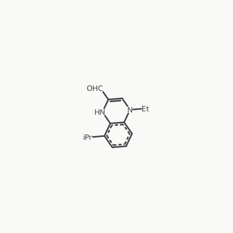 CCN1C=C(C=O)Nc2c(C(C)C)cccc21